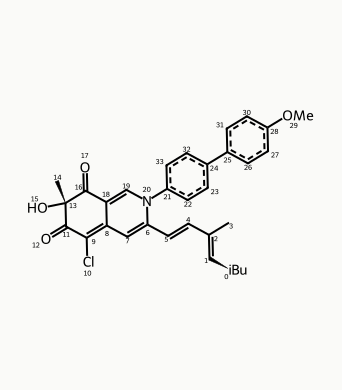 CC[C@H](C)/C=C(C)/C=C/C1=CC2=C(Cl)C(=O)[C@](C)(O)C(=O)C2=CN1c1ccc(-c2ccc(OC)cc2)cc1